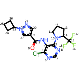 O=C(Nc1c(Cl)ncnc1N1CCCC1C(F)(F)F)c1cnn(C2CCC2)c1